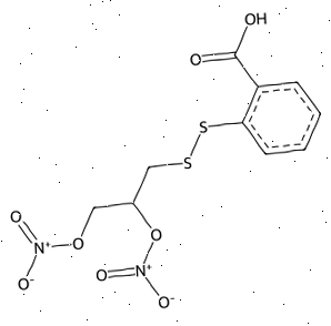 O=C(O)c1ccccc1SSCC(CO[N+](=O)[O-])O[N+](=O)[O-]